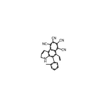 C=Cc1c(-c2ccccc2C)c2c(c3c(C#N)c(C#N)c(C#N)c(C#N)c13)C=CCN2